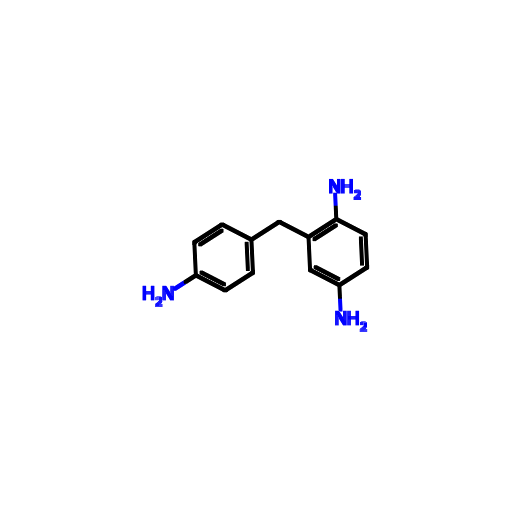 Nc1ccc(Cc2cc(N)ccc2N)cc1